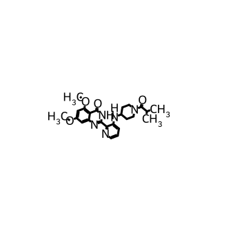 COc1cc(OC)c2c(=O)[nH]c(-c3ncccc3NC3CCN(C(=O)C(C)C)CC3)nc2c1